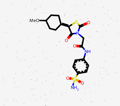 COC1CCC(=C2SC(=O)N(CC(=O)Nc3ccc(S(N)(=O)=O)cc3)C2=O)CC1